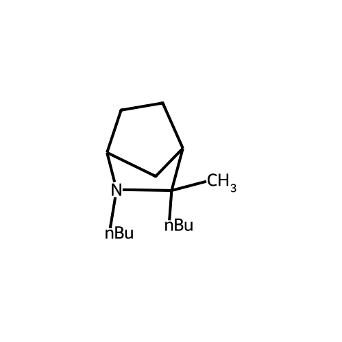 CCCCN1C2CCC(C2)C1(C)CCCC